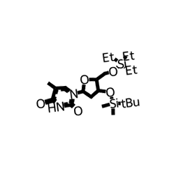 CC[Si](CC)(CC)OCC1OC(n2cc(C)c(=O)[nH]c2=O)CC1O[Si](C)(C)C(C)(C)C